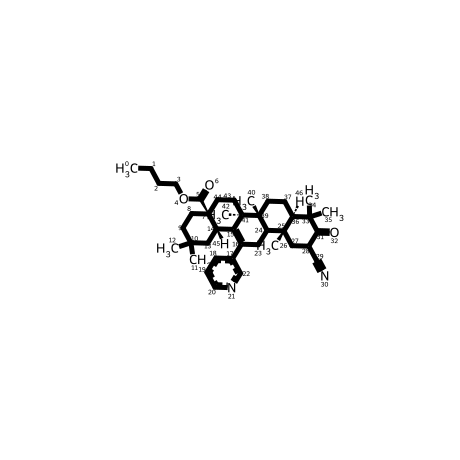 CCCCOC(=O)[C@]12CCC(C)(C)C[C@H]1C1=C(c3cccnc3)CC3[C@@]4(C)CC(C#N)C(=O)C(C)(C)[C@@H]4CC[C@@]3(C)[C@]1(C)CC2